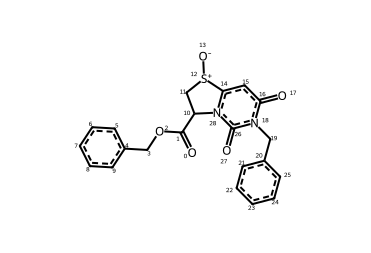 O=C(OCc1ccccc1)C1C[S+]([O-])c2cc(=O)n(Cc3ccccc3)c(=O)n21